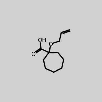 C=CCOC1(C(=O)O)CCCCCC1